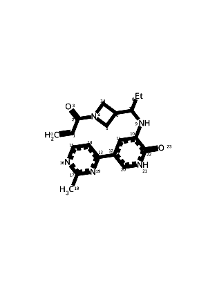 C=CC(=O)N1CC(C(CC)Nc2cc(-c3ccnc(C)n3)c[nH]c2=O)C1